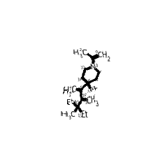 C=C(C)N1CCC(C(C)C)(C(C)C(C)C(C)(CC)CC)CC1